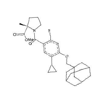 COC(=O)[C@]1(C)CCCN1C(=O)c1cc(C2CC2)c(OCC23CC4CC(CC(C4)C2)C3)cc1F